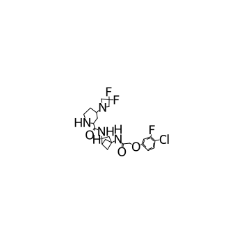 O=C(COc1ccc(Cl)c(F)c1)NC12CC(C1)[C@@H](NC(=O)C1CC(N3CC(F)(F)C3)CCN1)C2